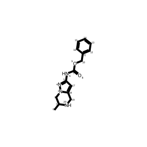 CC1Cn2nc(NC(=O)OCc3ccccc3)cc2CN1